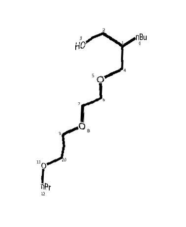 CCCCC(CO)COCCOCCOCCC